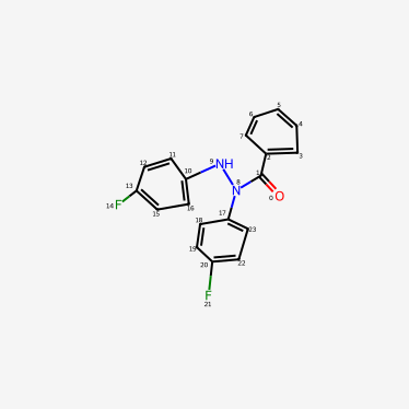 O=C(c1ccccc1)N(Nc1ccc(F)cc1)c1ccc(F)cc1